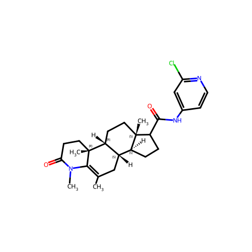 CC1=C2N(C)C(=O)CC[C@]2(C)[C@@H]2CC[C@]3(C)C(C(=O)Nc4ccnc(Cl)c4)CC[C@H]3[C@@H]2C1